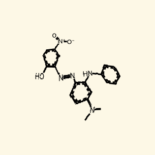 CN(C)c1ccc(N=Nc2cc([N+](=O)[O-])ccc2O)c(Nc2ccccc2)c1